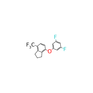 Fc1cc(F)cc(Oc2ccc(C(F)(F)F)c3c2CCC3)c1